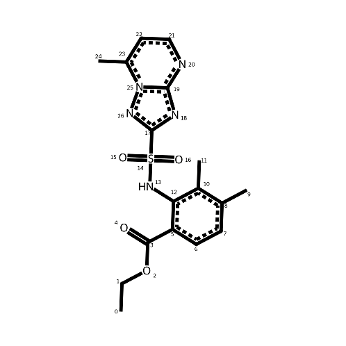 CCOC(=O)c1ccc(C)c(C)c1NS(=O)(=O)c1nc2nccc(C)n2n1